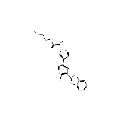 COCCNC(=O)C(C)n1cc(-c2cnc(N)c(-c3nc4ccccc4s3)c2)cn1